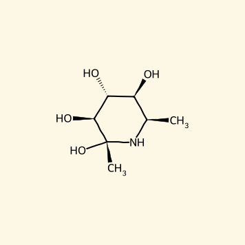 C[C@H]1N[C@](C)(O)[C@@H](O)[C@H](O)[C@H]1O